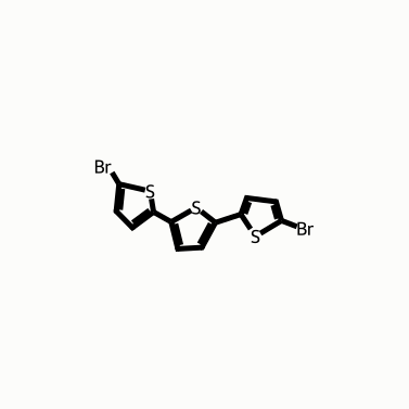 Brc1ccc(-c2ccc(-c3ccc(Br)s3)s2)s1